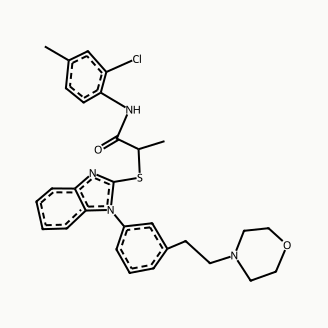 Cc1ccc(NC(=O)C(C)Sc2nc3ccccc3n2-c2cccc(CCN3CCOCC3)c2)c(Cl)c1